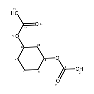 O=C(O)OC1CCCC(OC(=O)O)C1